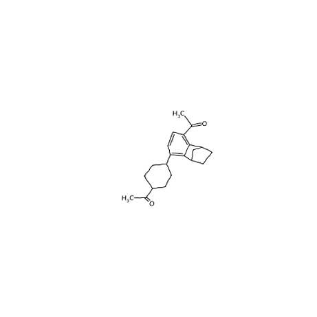 CC(=O)c1ccc(C2CCC(C(C)=O)CC2)c2c1C1CCC2C1